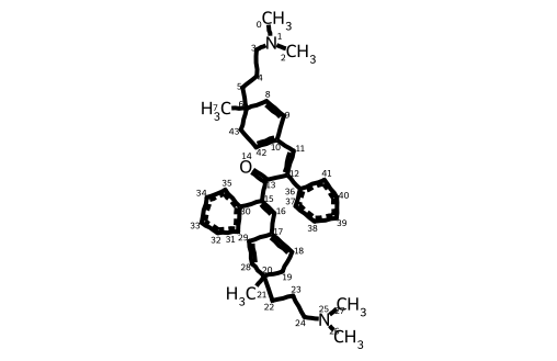 CN(C)CCCC1(C)C=CC(C=C(C(=O)C(=CC2=CCC(C)(CCCN(C)C)C=C2)c2ccccc2)c2ccccc2)=CC1